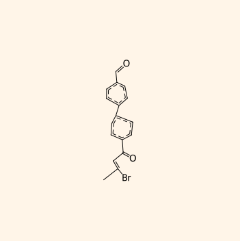 C/C(Br)=C/C(=O)c1ccc(-c2ccc(C=O)cc2)cc1